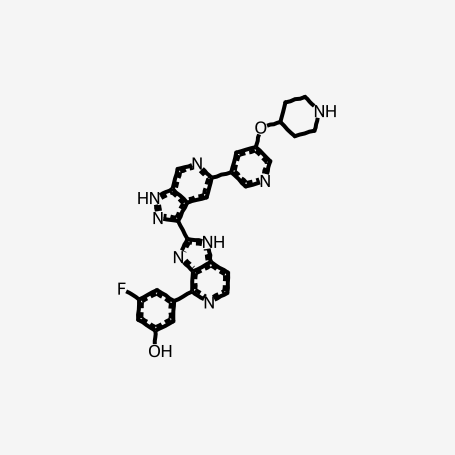 Oc1cc(F)cc(-c2nccc3[nH]c(-c4n[nH]c5cnc(-c6cncc(OC7CCNCC7)c6)cc45)nc23)c1